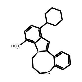 O=C(O)c1ccc(C2CCCCC2)c2cc3n(c12)CCCOc1ccccc1-3